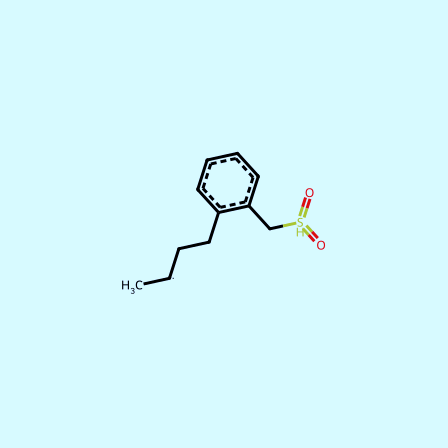 C[CH]CCc1ccccc1C[SH](=O)=O